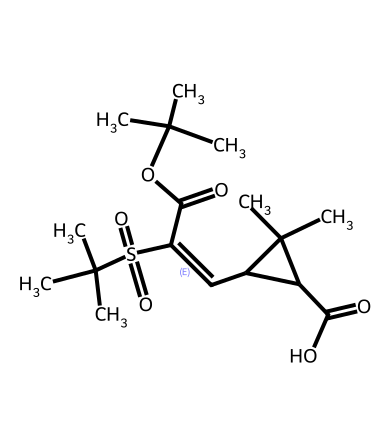 CC(C)(C)OC(=O)/C(=C\C1C(C(=O)O)C1(C)C)S(=O)(=O)C(C)(C)C